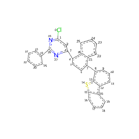 Clc1cc(-c2ccc(-c3cccc4c3sc3ccccc34)c3ccccc23)nc(-c2ccccc2)n1